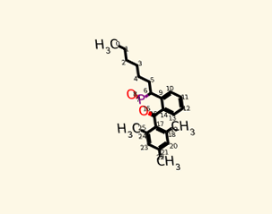 CCCCCCC(P=O)c1ccccc1C(=O)c1c(C)cc(C)cc1C